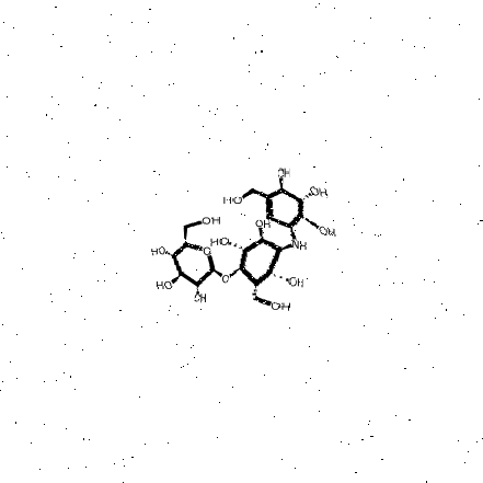 OCC1=C[C@H](N[C@@H]2[C@H](O)[C@@H](O)[C@H](O[C@@H]3O[C@H](CO)[C@@H](O)[C@H](O)[C@H]3O)[C@@H](CO)[C@H]2O)[C@H](O)[C@@H](O)[C@@H]1O